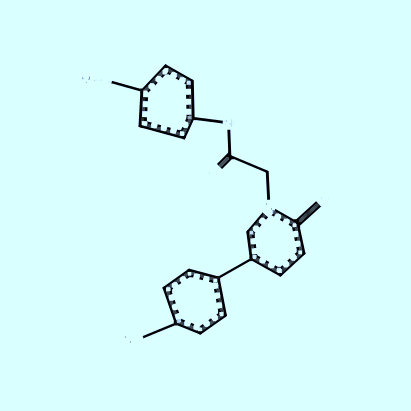 COc1ccc(NC(=O)Cn2cc(-c3ccc(C#N)cc3)ccc2=O)cc1